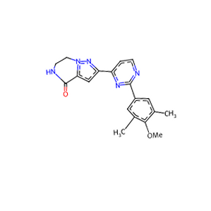 COc1c(C)cc(-c2nccc(-c3cc4n(n3)CCNC4=O)n2)cc1C